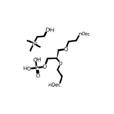 CCCCCCCCCCCCOC[C@H](COP(=O)(O)O)OCCCCCCCCCCCC.C[N+](C)(C)CCO